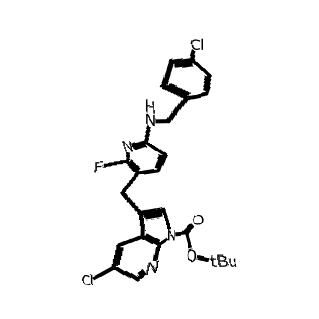 CC(C)(C)OC(=O)n1cc(Cc2ccc(NCc3ccc(Cl)cc3)nc2F)c2cc(Cl)cnc21